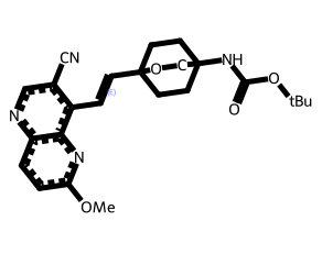 COc1ccc2ncc(C#N)c(/C=C/C34CCC(NC(=O)OC(C)(C)C)(CC3)CO4)c2n1